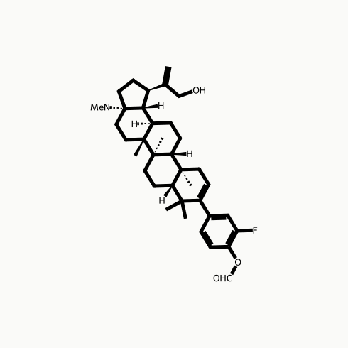 C=C(CO)[C@@H]1CC[C@]2(NC)CC[C@]3(C)[C@H](CC[C@@H]4[C@@]5(C)CC=C(c6ccc(OC=O)c(F)c6)C(C)(C)[C@@H]5CC[C@]43C)[C@@H]12